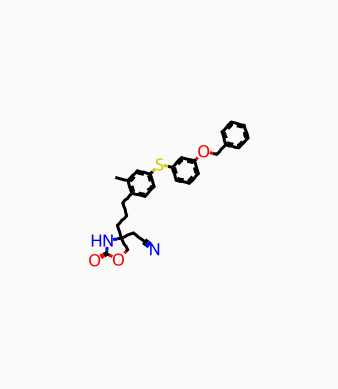 Cc1cc(Sc2cccc(OCc3ccccc3)c2)ccc1CCCC1(CC#N)COC(=O)N1